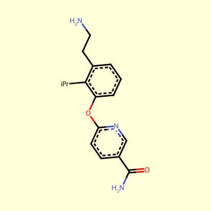 CC(C)c1c(CCN)cccc1Oc1ccc(C(N)=O)cn1